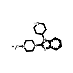 CN1CCN(c2nc3ccccc3n2C2CCNCC2)CC1